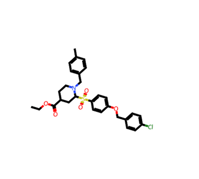 CCOC(=O)C1CCN(Cc2ccc(C)cc2)C(S(=O)(=O)c2ccc(OCc3ccc(Cl)cc3)cc2)C1